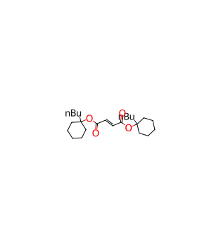 CCCCC1(OC(=O)/C=C/C(=O)OC2(CCCC)CCCCC2)CCCCC1